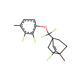 Cc1ccc(OC(F)(F)C23C=C(F)C(C)(CC2)CC3)c(F)c1F